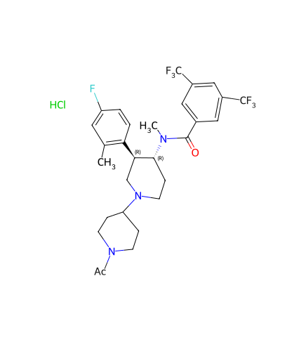 CC(=O)N1CCC(N2CC[C@@H](N(C)C(=O)c3cc(C(F)(F)F)cc(C(F)(F)F)c3)[C@H](c3ccc(F)cc3C)C2)CC1.Cl